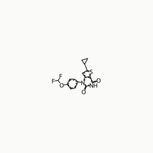 O=c1[nH]c(=O)n(-c2ccc(OC(F)F)cc2)c2cc(C3CC3)sc12